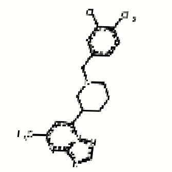 Cc1cc(C2CCCN(Cc3ccc(C)c(Cl)c3)C2)n2ncnc2n1